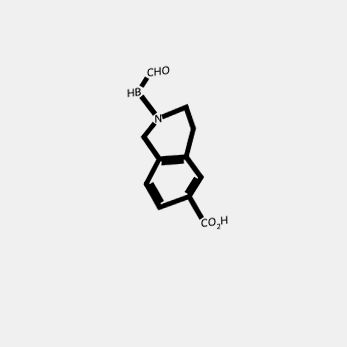 O=CBN1CCc2cc(C(=O)O)ccc2C1